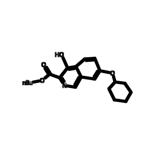 CCCCOC(=O)c1ncc2cc(OC3CCCCC3)ccc2c1O